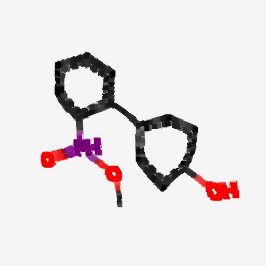 CO[PH](=O)c1ccccc1-c1ccc(O)cc1